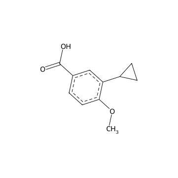 COc1ccc(C(=O)O)cc1C1CC1